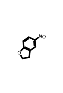 O=Nc1ccc2c(c1)CCO2